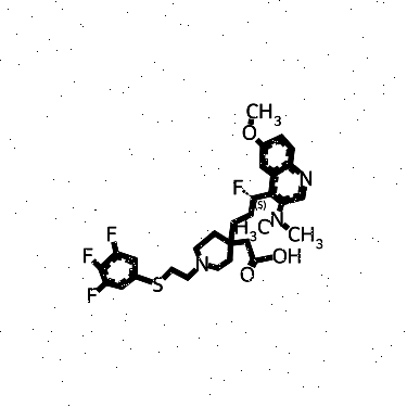 COc1ccc2ncc(N(C)C)c([C@@H](F)CCC3(CC(=O)O)CCN(CCSc4cc(F)c(F)c(F)c4)CC3)c2c1